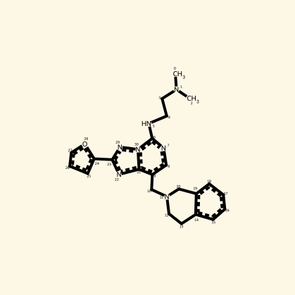 CN(C)CCNc1ncc(CN2CCc3ccccc3C2)c2nc(-c3ccco3)nn12